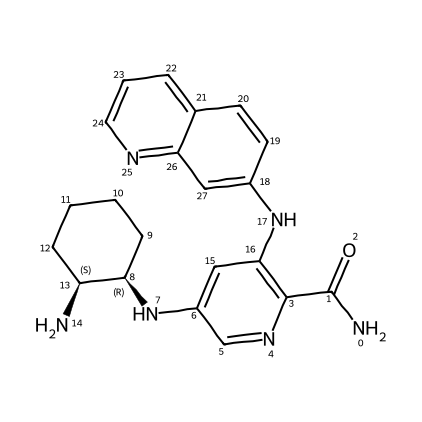 NC(=O)c1ncc(N[C@@H]2CCCC[C@@H]2N)cc1Nc1ccc2cccnc2c1